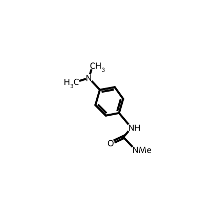 [CH2]NC(=O)Nc1ccc(N(C)C)cc1